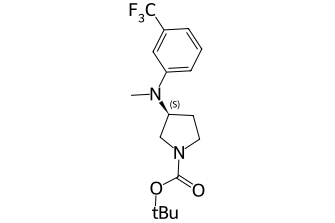 CN(c1cccc(C(F)(F)F)c1)[C@H]1CCN(C(=O)OC(C)(C)C)C1